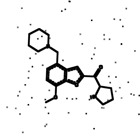 COc1ccc(CN2CCCCC2)c2cc(C(=O)C3CCCN3)oc12